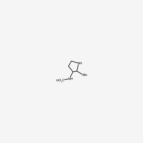 CC(C)(C)C1NCCC1NC(=O)O